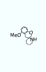 COc1cccc2c1CC1(CCCCN1)CO2